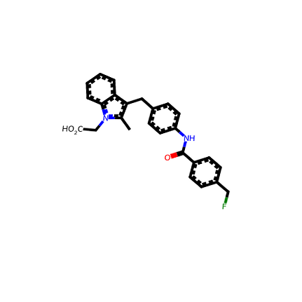 Cc1c(Cc2ccc(NC(=O)c3ccc(CF)cc3)cc2)c2ccccc2n1CC(=O)O